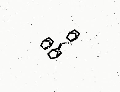 C/C=C1\C=C2CCC1C2.C1=C2CCC(C1)C2.C1=C2CCC(C1)C2